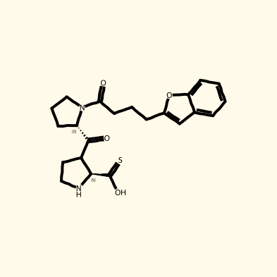 O=C(C1CCN[C@@H]1C(O)=S)[C@@H]1CCCN1C(=O)CCCc1cc2ccccc2o1